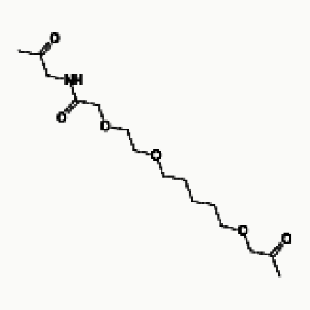 CC(=O)CNC(=O)COCCOCCCCCOCC(C)=O